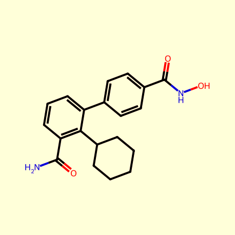 NC(=O)c1cccc(-c2ccc(C(=O)NO)cc2)c1C1CCCCC1